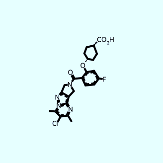 Cc1nc2c3c(nn2c(C)c1Cl)CN(C(=O)c1ccc(F)cc1O[C@H]1CC[C@H](C(=O)O)CC1)C3